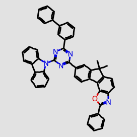 CC1(C)c2cc(-c3nc(-c4cccc(-c5ccccc5)c4)nc(-n4c5ccccc5c5ccccc54)n3)ccc2-c2c1ccc1nc(-c3ccccc3)oc21